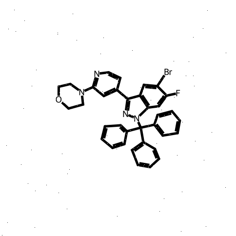 Fc1cc2c(cc1Br)c(-c1ccnc(N3CCOCC3)c1)nn2C(c1ccccc1)(c1ccccc1)c1ccccc1